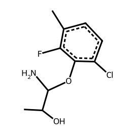 Cc1ccc(Cl)c(OC(N)C(C)O)c1F